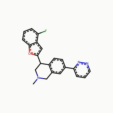 CN1Cc2cc(-c3cccnn3)ccc2C(c2cc3c(F)cccc3o2)C1